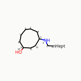 CCCCCCCCNC1CCCCCC(O)CC1